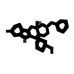 COc1cccc(C23CCN(Cc4ccccc4)CC2(O)Cc2c([nH]c4cc(C)ccc24)C3)c1